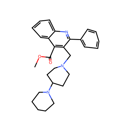 COC(=O)c1c(CN2CCC(N3CCCCC3)CC2)c(-c2ccccc2)nc2ccccc12